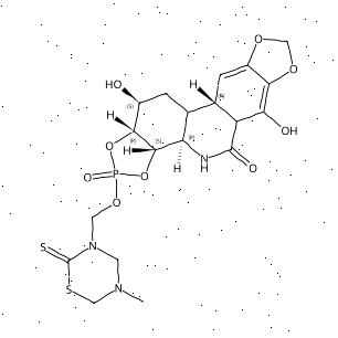 CN1CSC(=S)N(COP2(=O)O[C@@H]3[C@H](O2)[C@@H](O)CC2[C@@H]4C=C5OCOC5=C(O)C4C(=O)N[C@H]23)C1